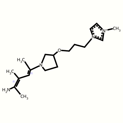 C/C(=C\C(C)=C(/C)N)N1CCC(OCCCn2cc[n+](C)c2)C1